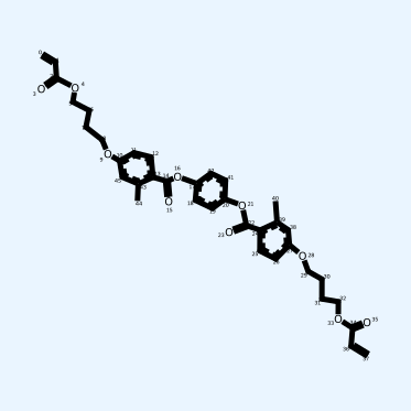 C=CC(=O)OCCCCOc1ccc(C(=O)Oc2ccc(OC(=O)c3ccc(OCCCCOC(=O)C=C)cc3C)cc2)c(C)c1